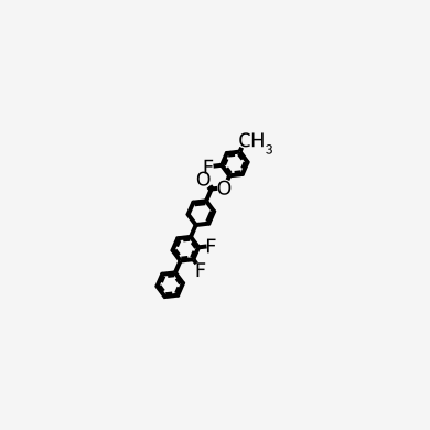 Cc1ccc(OC(=O)C2=CCC(c3ccc(-c4ccccc4)c(F)c3F)C=C2)c(F)c1